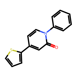 O=c1cc(-c2cccs2)ccn1-c1ccccc1